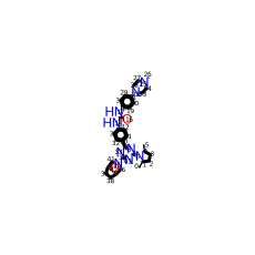 C[C@@H]1CC[C@H](C)N1c1nc(-c2ccc(NC(=O)Nc3ccc(N4CCN(C)CC4)cc3)cc2)nc(N2CC3CCC(C2)O3)n1